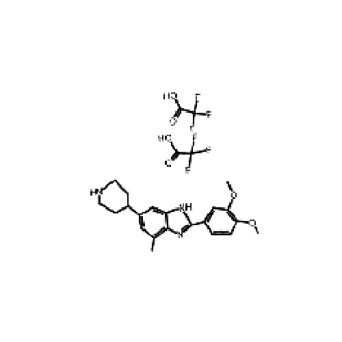 COc1ccc(-c2nc3c(C)cc(C4CCNCC4)cc3[nH]2)cc1OC.O=C(O)C(F)(F)F.O=C(O)C(F)(F)F